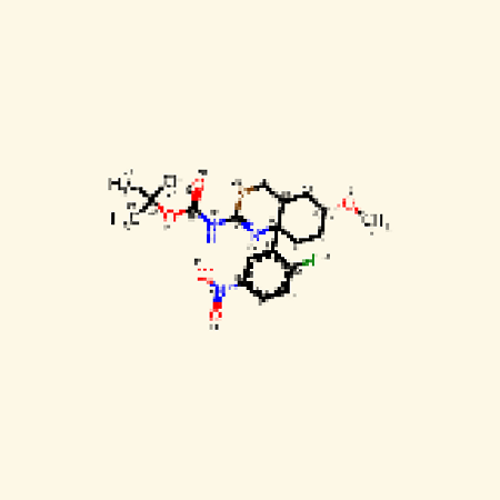 CO[C@@H]1CCC2(c3cc([N+](=O)[O-])ccc3F)N=C(NC(=O)OC(C)(C)C)SCC2C1